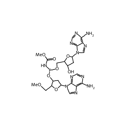 COCC1OC(n2cnc3c(N)ncnc32)CC1OP(NC(=O)OC)OCC1OC(n2cnc3c(N)ncnc32)CC1O